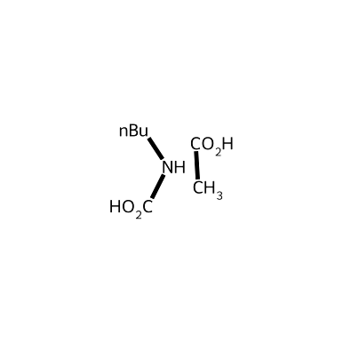 CC(=O)O.CCCCNC(=O)O